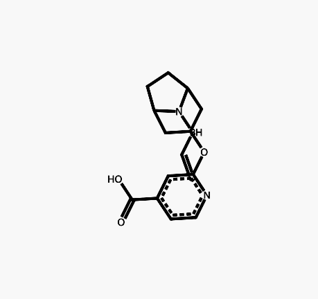 O=CBN1C2CCC1CC(Oc1cc(C(=O)O)ccn1)C2